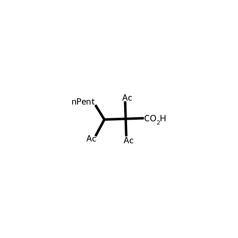 CCCCCC(C(C)=O)C(C(C)=O)(C(C)=O)C(=O)O